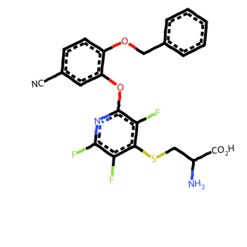 N#Cc1ccc(OCc2ccccc2)c(Oc2nc(F)c(F)c(SCC(N)C(=O)O)c2F)c1